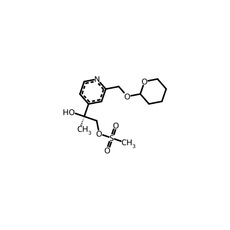 C[C@@](O)(COS(C)(=O)=O)c1ccnc(COC2CCCCO2)c1